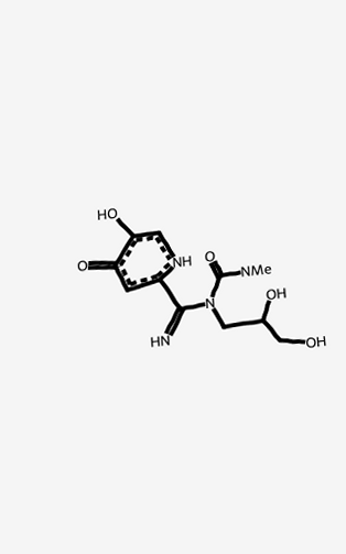 CNC(=O)N(CC(O)CO)C(=N)c1cc(=O)c(O)c[nH]1